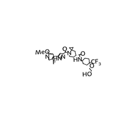 COc1cc(-c2cc(C(=O)N3CC[C@@H](C(=O)NC4CCC(OCCO)(C(F)(F)F)CC4)CC34CC4)n[nH]2)c(F)cn1